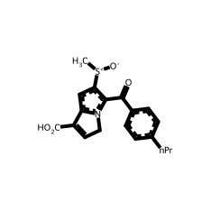 CCCc1ccc(C(=O)c2c([S+](C)[O-])cc3n2CC=C3C(=O)O)cc1